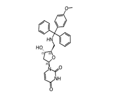 COc1ccc(C(NC[C@H]2O[C@@H](n3ccc(=O)[nH]c3=O)C[C@@H]2O)(c2ccccc2)c2ccccc2)cc1